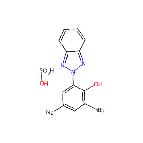 CCC(C)c1c[c]([Na])cc(-n2nc3ccccc3n2)c1O.O=S(=O)(O)O